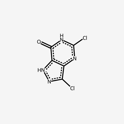 O=c1[nH]c(Cl)nc2c(Cl)n[nH]c12